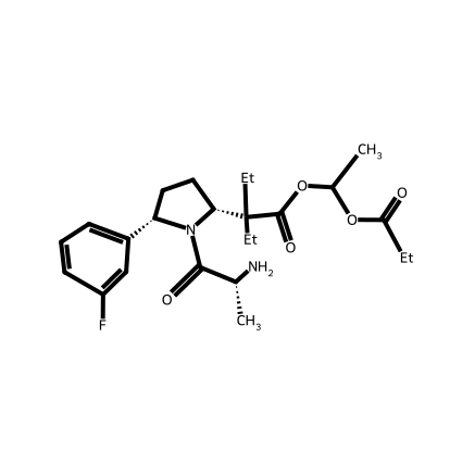 CCC(=O)OC(C)OC(=O)C(CC)(CC)[C@H]1CC[C@@H](c2cccc(F)c2)N1C(=O)[C@@H](C)N